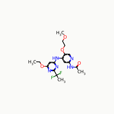 CCOc1cc(Nc2cc(NC(C)=O)ncc2OCCOC)nc(C(C)(F)F)n1